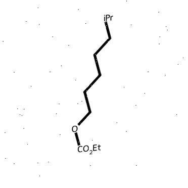 CCOC(=O)OCCCCCC(C)C